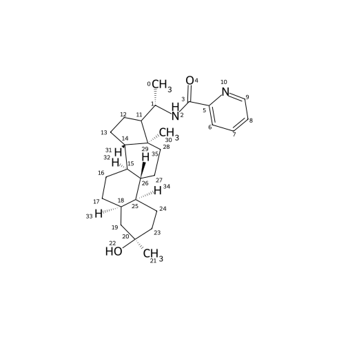 C[C@H](NC(=O)c1ccccn1)C1CC[C@H]2[C@@H]3CC[C@@H]4C[C@](C)(O)CC[C@@H]4[C@H]3CC[C@]12C